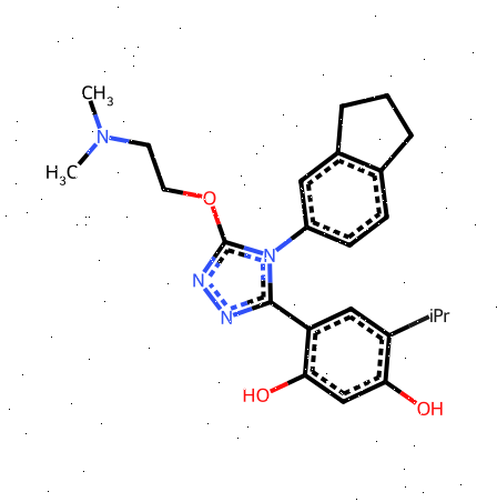 CC(C)c1cc(-c2nnc(OCCN(C)C)n2-c2ccc3c(c2)CCC3)c(O)cc1O